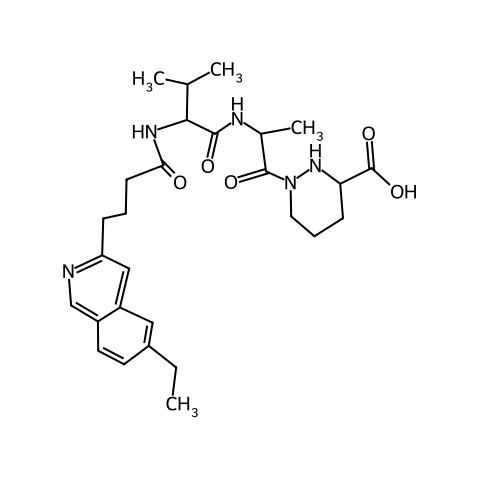 CCc1ccc2cnc(CCCC(=O)NC(C(=O)NC(C)C(=O)N3CCCC(C(=O)O)N3)C(C)C)cc2c1